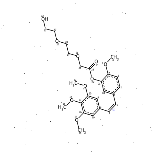 COc1ccc(/C=C\c2cc(OC)c(OC)c(OC)c2)cc1OC(=O)COCCOCCO